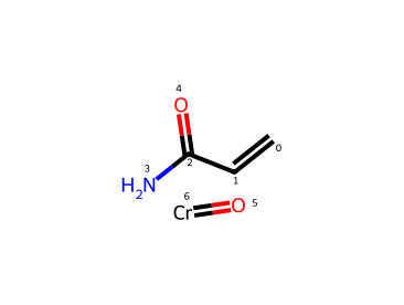 C=CC(N)=O.[O]=[Cr]